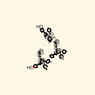 CC(C)OC(=O)OCOC(=O)c1sc(C2=CCCCC2)cc1N(C(=O)[C@H]1CC[C@H](C)CC1)C1CCN(C)CC1.CC(C)OC(=O)OCOC(=O)c1sc(C2=CCCCC2)cc1N(C(=O)[C@H]1CC[C@H](C)CC1)C1CCN(C)CC1.C[C@H]1CC[C@H](C(=O)N(c2cc(C3=CCCCC3)sc2C(=O)O)C2CCC(F)(F)CC2)CC1.Cl.Cl